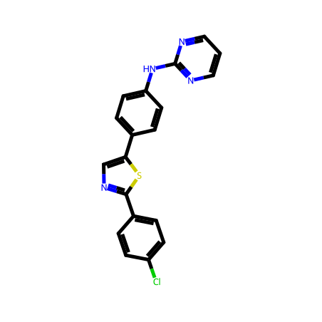 Clc1ccc(-c2ncc(-c3ccc(Nc4ncccn4)cc3)s2)cc1